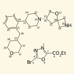 CCOC(=O)c1nnc(Br)o1.c1ccc(C2CCN([C@@H]3COC4(CNC4)C3)CC2)c(CC2CCOCC2)c1